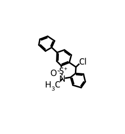 CN1c2ccccc2C(Cl)c2ccc(-c3ccccc3)cc2[S+]1[O-]